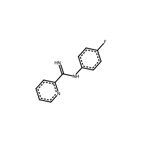 N=C(Nc1ccc(F)cc1)c1ccccn1